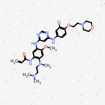 C=CC(=O)Nc1cc(Nc2cc(Nc3ccc(OCCN4CCOCC4)c(Cl)c3)ncn2)c(OC)cc1N(C)CCN(C)C